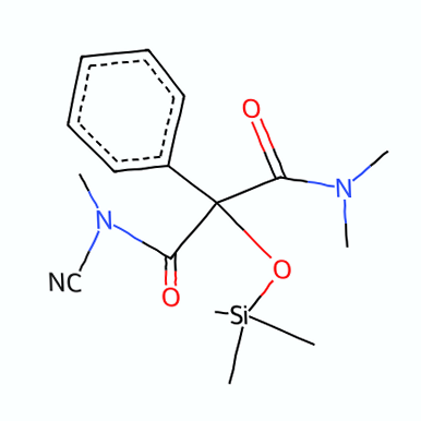 CN(C)C(=O)C(O[Si](C)(C)C)(C(=O)N(C)C#N)c1ccccc1